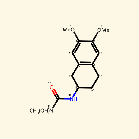 COc1cc2c(cc1OC)CC(NC(=O)N(C)O)CC2